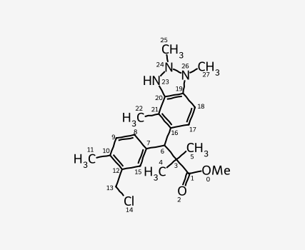 COC(=O)C(C)(C)C(c1ccc(C)c(CCl)c1)c1ccc2c(c1C)NN(C)N2C